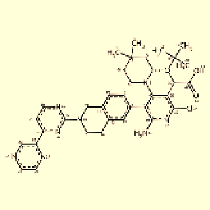 CC1(C)CCN(c2c(-c3ccc4c(c3)CCN(c3nccc(-c5cnccn5)n3)C4)c(N)nc(Cl)c2C(OC(C)(C)C)C(=O)O)CC1